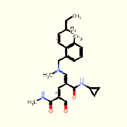 CCC(C)/C=C\c1c(C)cccc1CN(C)/C=C(\C=C(/C=O)C(=O)NC)C(=O)NC1CC1